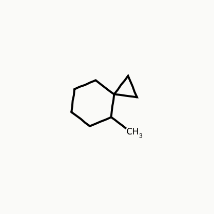 CC1CCCCC12CC2